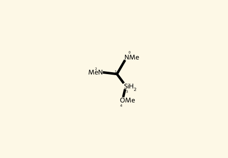 CNC(NC)[SiH2]OC